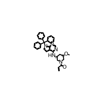 C=CC(=O)N1C[C@H](Nc2ncnc3c2ccn3C(c2ccccc2)(c2ccccc2)c2ccccc2)C[C@@H](OC)C1